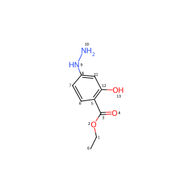 CCOC(=O)c1ccc(NN)cc1O